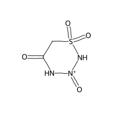 O=C1CS(=O)(=O)N[N+](=O)N1